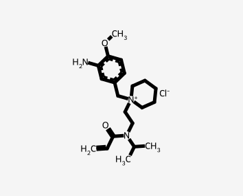 C=CC(=O)N(CC[N+]1(Cc2ccc(OC)c(N)c2)CCCCC1)C(C)C.[Cl-]